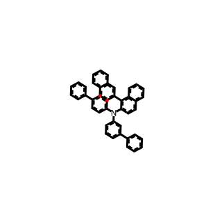 c1ccc(-c2ccc(N(c3cccc(-c4ccccc4)c3)c3ccc4ccccc4c3-c3ccc4ccccc4c3)cc2)cc1